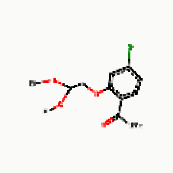 CCOC(COc1cc(Br)ccc1C(=O)OC)OCC